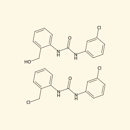 O=C(Nc1cccc(Cl)c1)Nc1ccccc1CCl.O=C(Nc1cccc(Cl)c1)Nc1ccccc1CO